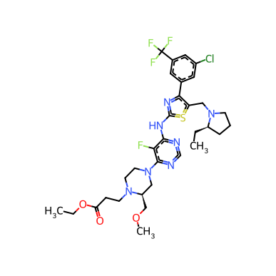 CCOC(=O)CCN1CCN(c2ncnc(Nc3nc(-c4cc(Cl)cc(C(F)(F)F)c4)c(CN4CCC[C@H]4CC)s3)c2F)C[C@H]1COC